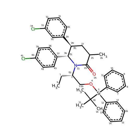 CC[C@@H](CO[Si](c1ccccc1)(c1ccccc1)C(C)(C)C)N1C(=O)C(C)C[C@H](c2cccc(Cl)c2)[C@H]1c1ccc(Cl)cc1